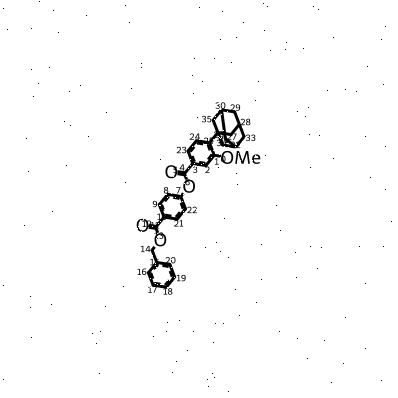 COc1cc(C(=O)Oc2ccc(C(=O)OCc3ccccc3)cc2)ccc1C12CC3CC(CC(C3)C1)C2